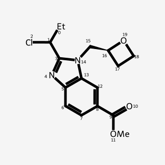 CCC(Cl)c1nc2ccc(C(=O)OC)cc2n1C[C@@H]1CCO1